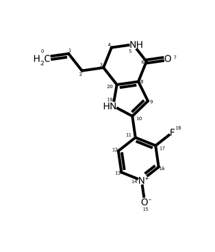 C=CCC1CNC(=O)c2cc(-c3cc[n+]([O-])cc3F)[nH]c21